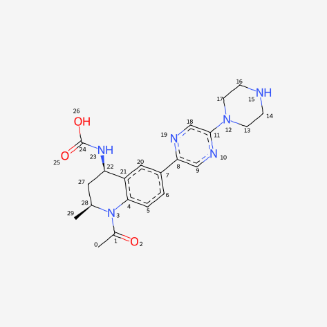 CC(=O)N1c2ccc(-c3cnc(N4CCNCC4)cn3)cc2[C@H](NC(=O)O)C[C@@H]1C